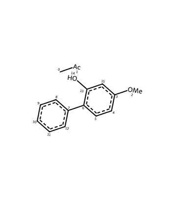 CC(C)=O.COc1ccc(-c2ccccc2)c(O)c1